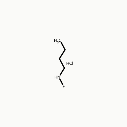 CCCCNF.Cl